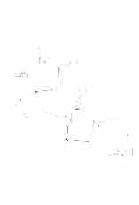 O=C1NC(=O)C2(CCC2N2C(=O)C3CNCCN3C2=O)S1